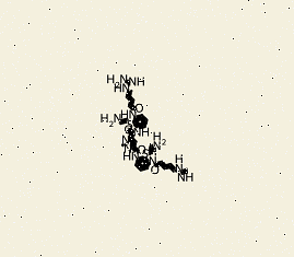 CC(=N)NCCCCC(=O)Nc1cccc(NC(=O)c2cc(C(=O)Nc3cccc(NC(=O)CCCCNC(=N)N)c3SCCN)ncn2)c1SCCN